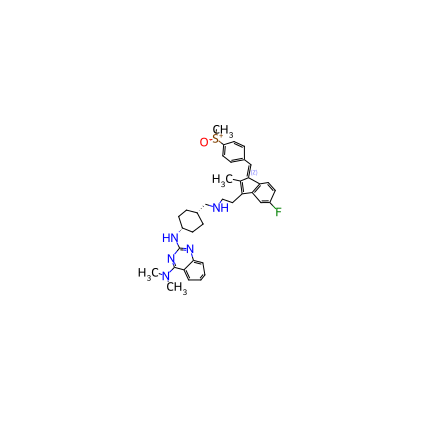 CC1=C(CCNC[C@H]2CC[C@@H](Nc3nc(N(C)C)c4ccccc4n3)CC2)c2cc(F)ccc2/C1=C/c1ccc([S+](C)[O-])cc1